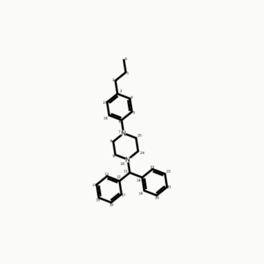 CCCc1ccc(N2CCN(C(c3ccccc3)c3ccccc3)CC2)cc1